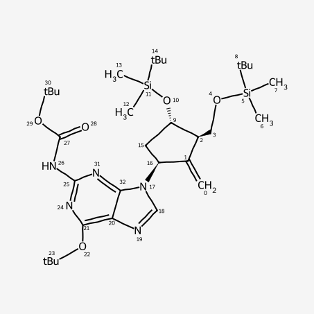 C=C1[C@H](CO[Si](C)(C)C(C)(C)C)[C@@H](O[Si](C)(C)C(C)(C)C)C[C@@H]1n1cnc2c(OC(C)(C)C)nc(NC(=O)OC(C)(C)C)nc21